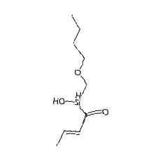 CC=CC(=O)[SiH](O)COCCCC